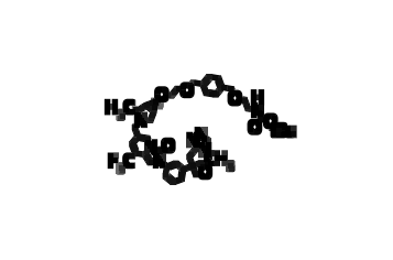 CC1C2C(CN1Cc1cc(C(F)(F)F)c3cn(-c4cccc(C5(Cc6nncn6C)COC5)c4)c(=O)n3c1)[C@H]2OCCOCc1ccc(COCCNC(=O)OC(C)(C)C)cc1